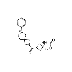 O=C1N[C@]2(CO1)C[C@H](C(=O)N1CC3(CC[C@@H](c4ccccc4)C3)C1)C2